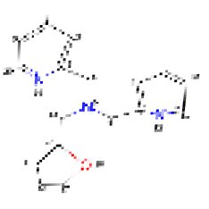 c1ccc(CN(Cc2ccccn2)CC2CCCO2)nc1